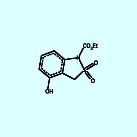 CCOC(=O)N1c2cccc(O)c2CS1(=O)=O